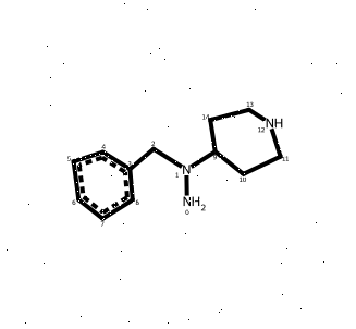 NN(Cc1ccccc1)C1CCNCC1